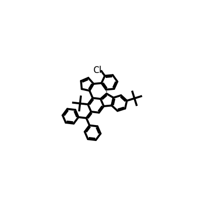 CC(C)(C)c1ccc2c(c1)[C]=c1c-2cc(=C(c2ccccc2)c2ccccc2)c(C(C)(C)C)c1C1=C(c2ccccc2Cl)C=CC1